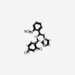 N#CSc1ccccc1C(Cn1ccnc1)SCc1ccc(Cl)cc1Cl